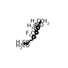 C=C(C)C(=O)OCCCc1ccc(-c2ccc3c(sc4c(C)c(OC(=O)C(=C)C)ccc43)c2C(F)(F)F)cc1